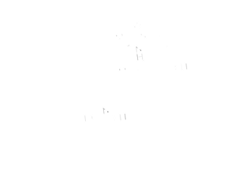 Cc1ccccc1-c1ccccc1[S+]([O-])NC(=O)c1cc2ccc(N(C)C)cc2o1